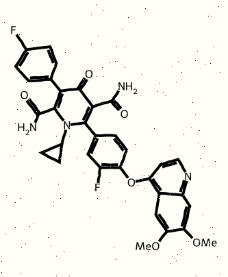 COc1cc2nccc(Oc3ccc(-c4c(C(N)=O)c(=O)c(-c5ccc(F)cc5)c(C(N)=O)n4C4CC4)cc3F)c2cc1OC